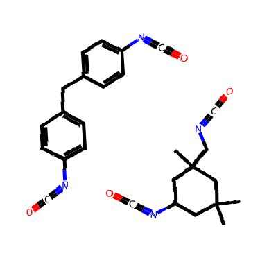 CC1(C)CC(N=C=O)CC(C)(CN=C=O)C1.O=C=Nc1ccc(Cc2ccc(N=C=O)cc2)cc1